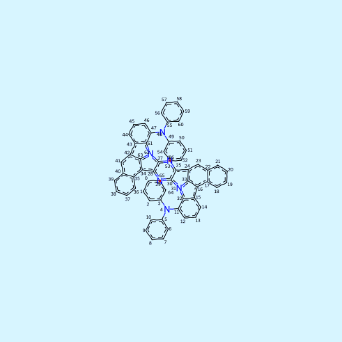 c1ccc(N(c2ccccc2)c2cccc3c4c5ccccc5cc5c6nc7c(nc6n(c23)c54)c2c3ccccc3cc3c4cccc(N(c5ccccc5)c5ccccc5)c4n7c32)cc1